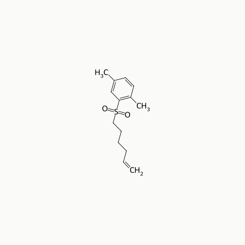 C=CCCCCS(=O)(=O)c1cc(C)ccc1C